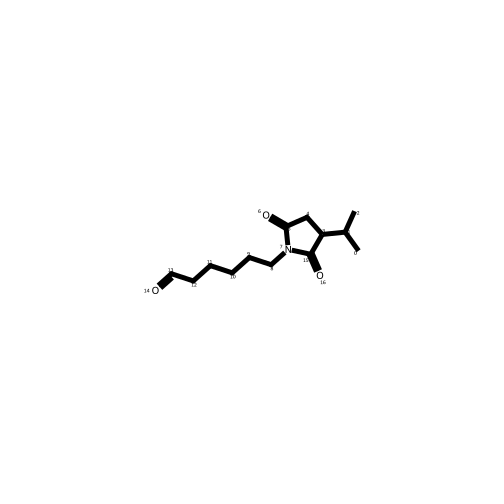 CC(C)C1CC(=O)N(CCCCCC=O)C1=O